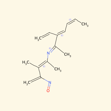 C=CC(=C\C=C/C)/C(C)=N/C(C)=C(\C)C(=C)N=O